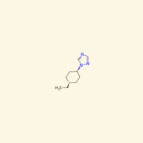 CC[C@H]1CC[C@@H](n2cncn2)CC1